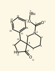 CC(C)(C)OC(=O)N1CCCC2(C1)C(=O)NCC2c1cccnc1